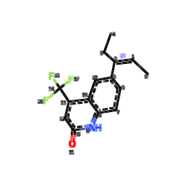 C/C=C(/CC)c1ccc2[nH]c(=O)cc(C(F)(F)F)c2c1